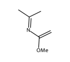 C=C(N=C(C)C)OC